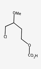 COC(CCl)CCOC(=O)O